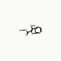 COc1c(C(=O)OC(C)C)sc2ncccc12